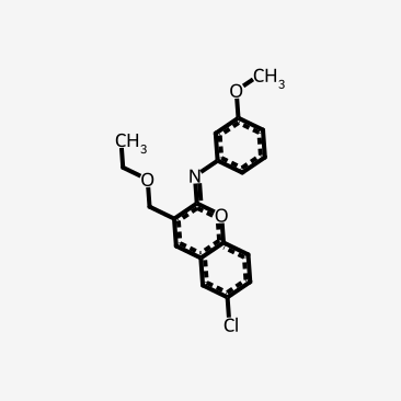 CCOCc1cc2cc(Cl)ccc2oc1=Nc1cccc(OC)c1